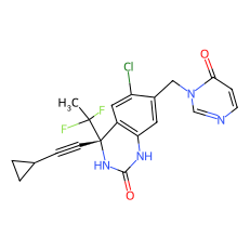 CC(F)(F)[C@@]1(C#CC2CC2)NC(=O)Nc2cc(Cn3cnccc3=O)c(Cl)cc21